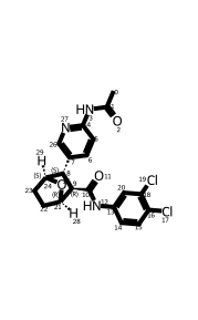 CC(=O)Nc1ccc([C@@H]2[C@@H](C(=O)Nc3ccc(Cl)c(Cl)c3)[C@H]3CC[C@@H]2O3)cn1